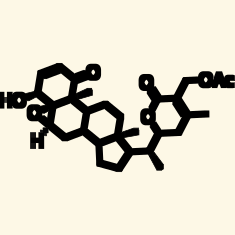 CC(=O)OCC1=C(C)CC([C@@H](C)C2CCC3C4C[C@H]5O[C@]56[C@@H](O)C=CC(=O)[C@]6(C)C4CC[C@@]32C)OC1=O